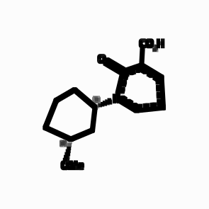 CO[C@@H]1CCC[C@H](n2cccc(C(=O)O)c2=O)C1